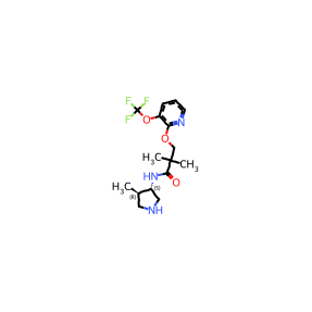 C[C@@H]1CNC[C@H]1NC(=O)C(C)(C)COc1ncccc1OC(F)(F)F